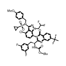 COc1ccc(CN(c2nn(CC(F)F)c3c(-n4c([C@H](Cc5cc(F)cc(F)c5)NC(=O)OC(C)(C)C)nc5cc(C(C)(F)F)ccc5c4=O)ccc(Cl)c23)S(=O)(=O)C2CC2)cc1